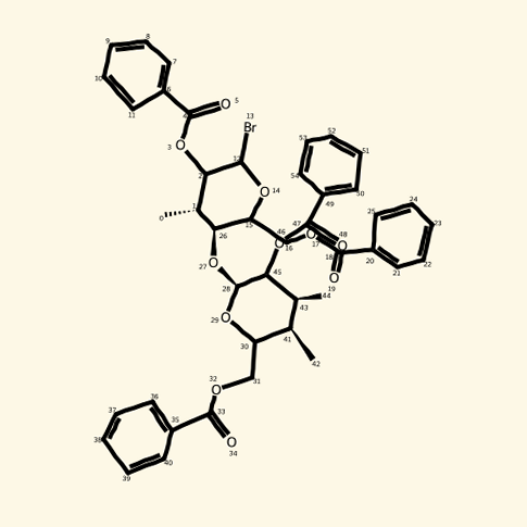 C[C@@H]1C(OC(=O)c2ccccc2)C(Br)OC(COC(=O)c2ccccc2)[C@H]1O[C@@H]1OC(COC(=O)c2ccccc2)[C@H](C)[C@H](C)C1OC(=O)c1ccccc1